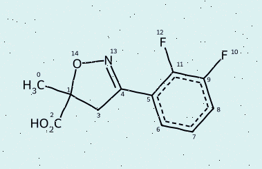 CC1(C(=O)O)CC(c2cccc(F)c2F)=NO1